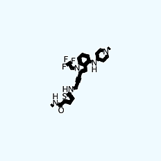 CNC(=O)c1ccc(NCC#Cc2cc3c(NC4CCN(C)CC4)cccc3n2CC(F)(F)F)s1